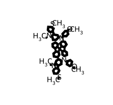 CCn1c2ccc(SC)cc2c2cc(N(c3ccc(OC)cc3)c3ccc4c(c3)C3(c5ccccc5-c5ccccc53)c3cc(N(c5ccc(OC)cc5)c5ccc6c(c5)c5cc(SC)ccc5n6CC)ccc3-4)ccc21